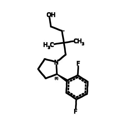 CC(C)([CH]CO)CN1CCC[C@@H]1c1cc(F)ccc1F